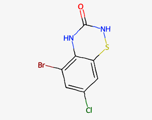 O=C1NSc2cc(Cl)cc(Br)c2N1